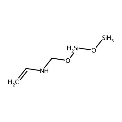 C=CNCO[SiH2]O[SiH3]